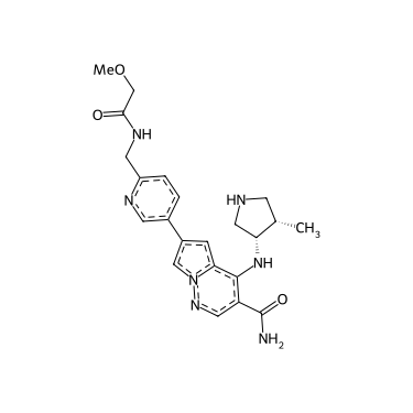 COCC(=O)NCc1ccc(-c2cc3c(N[C@@H]4CNC[C@@H]4C)c(C(N)=O)cnn3c2)cn1